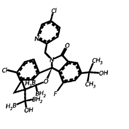 BC(B)(O)C1(C(B)(B)O[C@]2(c3ccc(Cl)cc3)c3c(F)cc(C(C)(C)O)cc3C(=O)N2Cc2ccc(Cl)cn2)CC1